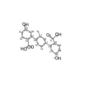 Cc1cc(-c2cc(O)ccc2C(=O)O)ccc1-c1cc(O)ccc1C(=O)O